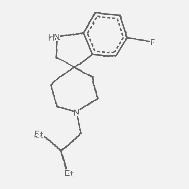 CCC(CC)CN1CCC2(CC1)CNc1ccc(F)cc12